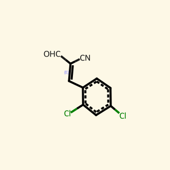 N#C/C(C=O)=C\c1ccc(Cl)cc1Cl